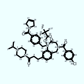 CC(C)N1CCN(C(=O)CCc2ccc3c(c2)[N+](Cc2ccc(C(=O)N4CC=CC4)cc2)(OC(=O)C(F)(F)F)C(=O)CN(C(=O)c2ccc(Cl)cc2)C3)CC1